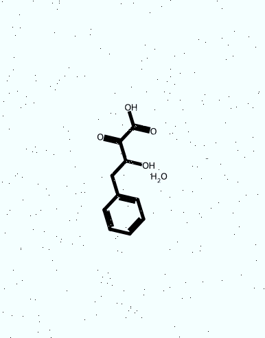 O.O=C(O)C(=O)C(O)Cc1ccccc1